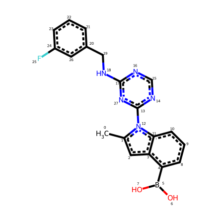 Cc1cc2c(B(O)O)cccc2n1-c1ncnc(NCc2cccc(F)c2)n1